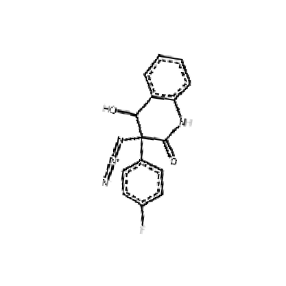 [N-]=[N+]=NC1(c2ccc(F)cc2)C(=O)Nc2ccccc2C1O